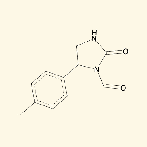 [CH2]c1ccc(C2CNC(=O)N2C=O)cc1